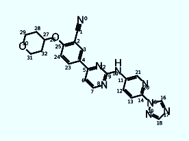 N#Cc1cc(-c2ccnc(Nc3ccc(-n4cncn4)nc3)n2)ccc1OC1CCOCC1